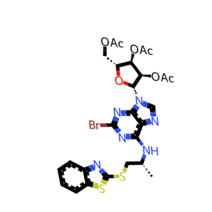 CC(=O)OC[C@H]1O[C@@H](n2cnc3c(N[C@H](C)CSc4nc5ccccc5s4)nc(Br)nc32)[C@H](OC(C)=O)[C@@H]1OC(C)=O